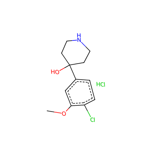 COc1cc(C2(O)CCNCC2)ccc1Cl.Cl